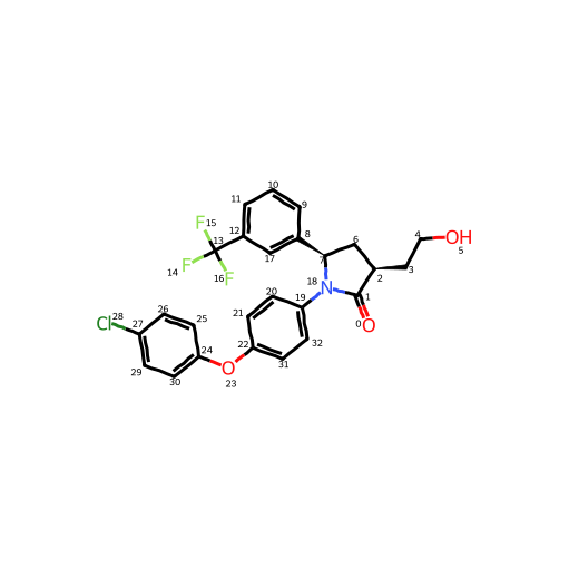 O=C1[C@H](CCO)C[C@H](c2cccc(C(F)(F)F)c2)N1c1ccc(Oc2ccc(Cl)cc2)cc1